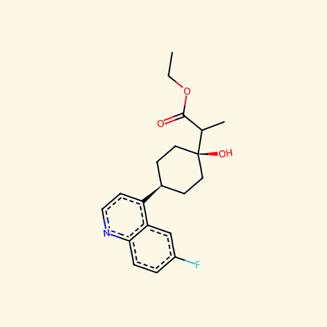 CCOC(=O)C(C)[C@]1(O)CC[C@@H](c2ccnc3ccc(F)cc32)CC1